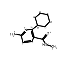 CNC(=O)c1ccc(N)nc1C1CCCCC1